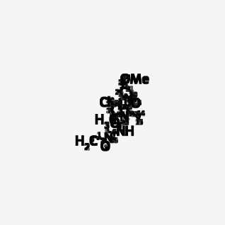 C=CC(=O)N1CC(NC(=O)Cn2c(C3CC3)c(C(=O)N3CCC(COC)CC3)c3cc(Cl)cc(C)c32)C1